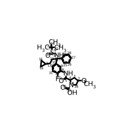 COC1CC(C(=O)Nc2cc(C(CCC3CC3)(N[S@+]([O-])C(C)(C)C)c3ccccc3)ccc2F)N(C(=O)O)C1